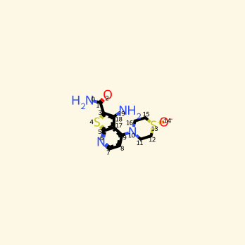 NC(=O)c1sc2nccc(N3CC[S+]([O-])CC3)c2c1N